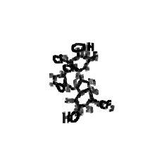 N#Cc1ccoc1C1=C(c2cc(F)c(O)c(Cl)c2)Cc2c1cc(O)cc2C(F)(F)F